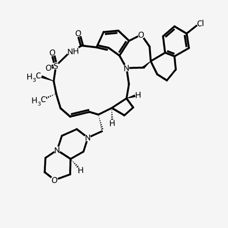 C[C@@H]1[C@@H](C)C/C=C/[C@@H](CN2CCN3CCOC[C@@H]3C2)[C@@H]2CC[C@H]2CN2C[C@@]3(CCCc4cc(Cl)ccc43)COc3ccc(cc32)C(=O)NS1(=O)=O